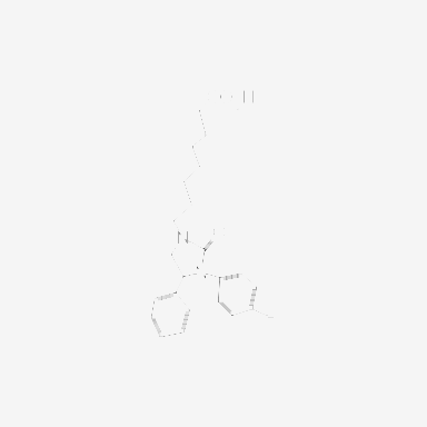 O=C(O)CCCCCCCN1CC(c2ccccc2)N(c2ccc(F)cc2)C1=O